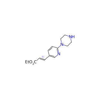 CCOC(=O)/C=C/c1ccc(N2CCNCC2)nc1